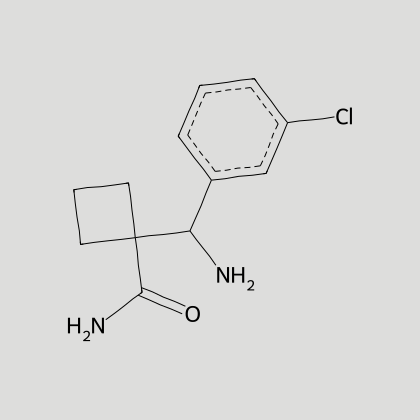 NC(=O)C1(C(N)c2cccc(Cl)c2)CCC1